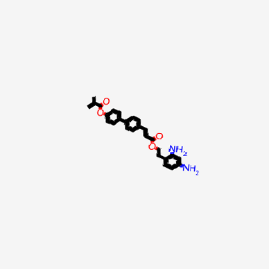 C=C(C)C(=O)Oc1ccc(-c2ccc(/C=C/C(=O)OCCc3ccc(N)cc3N)cc2)cc1